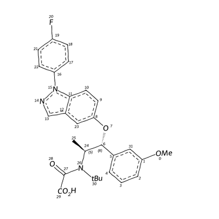 COc1cccc([C@@H](Oc2ccc3c(cnn3-c3ccc(F)cc3)c2)[C@H](C)N(C(=O)C(=O)O)C(C)(C)C)c1